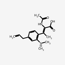 C=CCc1ccc(C(C)=C(NC(C)=O)C(=O)O)c([SiH](C)C)c1